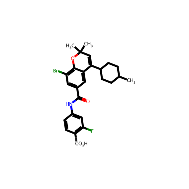 CC1CCC(C2=CC(C)(C)Oc3c(Br)cc(C(=O)Nc4ccc(C(=O)O)c(F)c4)cc32)CC1